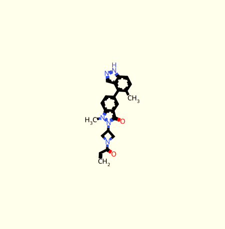 C=CC(=O)N1CC(n2c(=O)c3cc(-c4c(C)ccc5[nH]ncc45)ccc3n2C)C1